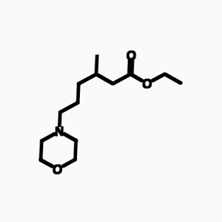 CCOC(=O)CC(C)CCCN1CCOCC1